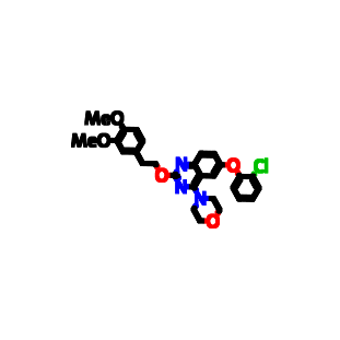 COc1ccc(CCOc2nc(N3CCOCC3)c3cc(Oc4ccccc4Cl)ccc3n2)cc1OC